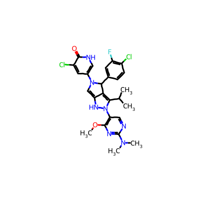 COc1nc(N(C)C)ncc1N1NC2=CN(c3c[nH]c(=O)c(Cl)c3)C(c3ccc(Cl)c(F)c3)C2=C1C(C)C